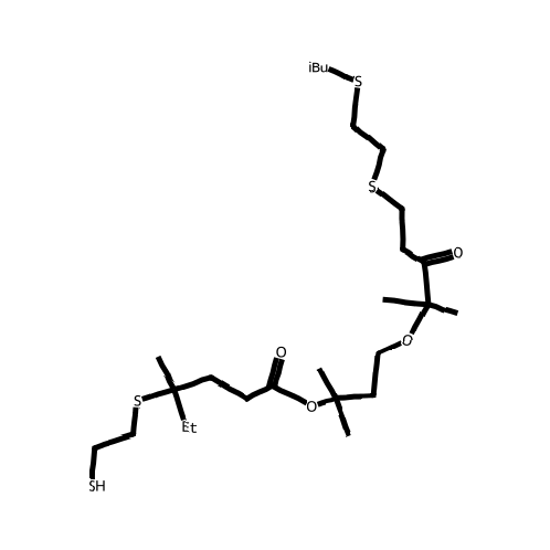 CCC(C)SCCSCCC(=O)C(C)(C)OCCC(C)(C)OC(=O)CCC(C)(CC)SCCS